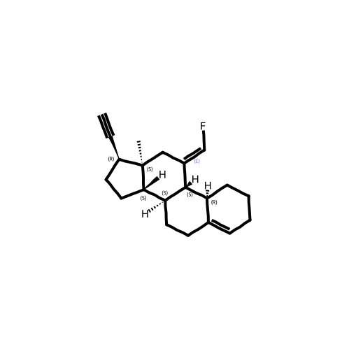 C#C[C@@H]1CC[C@H]2[C@@H]3CCC4=CCCC[C@@H]4[C@H]3/C(=C/F)C[C@]12C